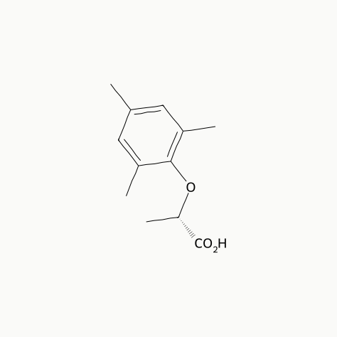 Cc1cc(C)c(O[C@@H](C)C(=O)O)c(C)c1